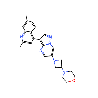 Cc1ccc2c(-c3cnn4cc(N5CC(N6CCOCC6)C5)cnc34)cc(C)nc2c1